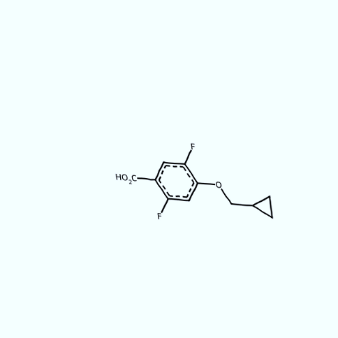 O=C(O)c1cc(F)c(OCC2CC2)cc1F